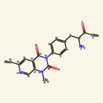 COC(=O)C(N)Cc1ccc(-n2c(=O)c3cc(OC)ncc3n(C)c2=O)cc1